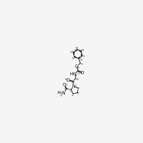 NC(=O)[C@@H]1CCCN1C(=O)CNC(=O)OCc1ccccc1